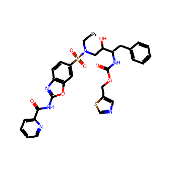 CC(C)CN(CC(O)C(Cc1ccccc1)NC(=O)OCc1cncs1)S(=O)(=O)c1ccc2nc(NC(=O)c3ccccn3)oc2c1